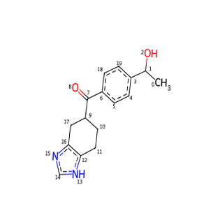 CC(O)c1ccc(C(=O)C2CCc3[nH]cnc3C2)cc1